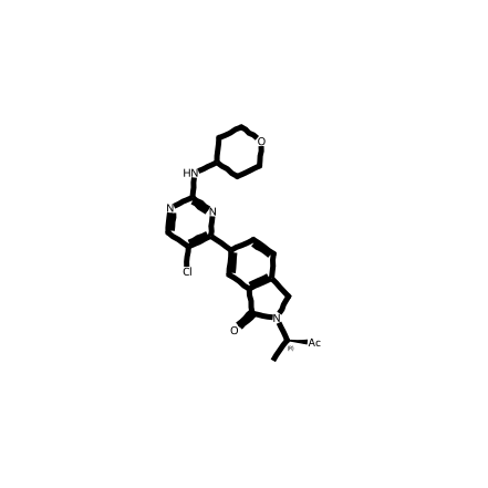 CC(=O)[C@@H](C)N1Cc2ccc(-c3nc(NC4CCOCC4)ncc3Cl)cc2C1=O